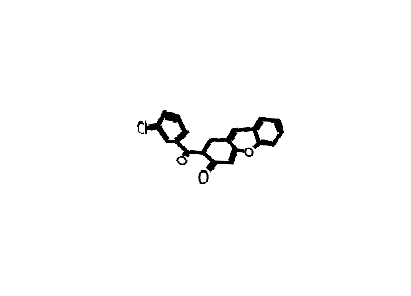 O=C1C=C2Oc3ccccc3C=C2CC1C(=O)c1cccc(Cl)c1